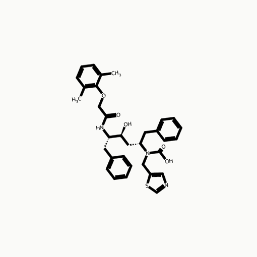 Cc1cccc(C)c1OCC(=O)N[C@@H](Cc1ccccc1)[C@@H](O)C[C@H](Cc1ccccc1)N(Cc1cncs1)C(=O)O